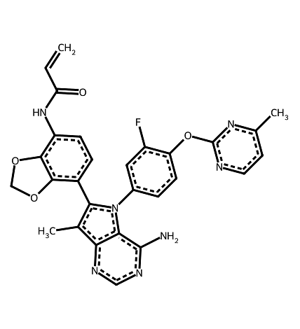 C=CC(=O)Nc1ccc(-c2c(C)c3ncnc(N)c3n2-c2ccc(Oc3nccc(C)n3)c(F)c2)c2c1OCO2